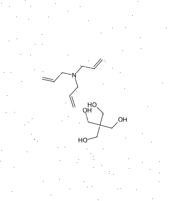 C=CCN(CC=C)CC=C.OCC(CO)(CO)CO